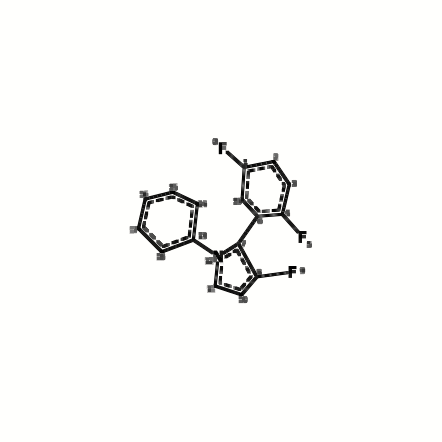 Fc1ccc(F)c(-c2c(F)ccn2-c2ccccc2)c1